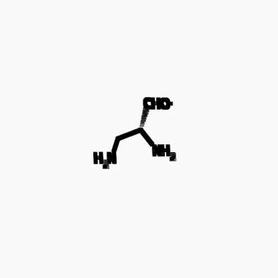 NC[C@@H](N)[C]=O